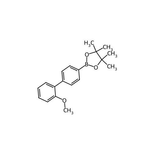 COc1ccccc1-c1ccc(B2OC(C)(C)C(C)(C)O2)cc1